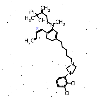 C=C/C=C\C1=C(N(C)CCC(=C)C(C)(C)C(C)C)C=C(CCCCCN2CCN(c3cccc(Cl)c3Cl)C2)CC1